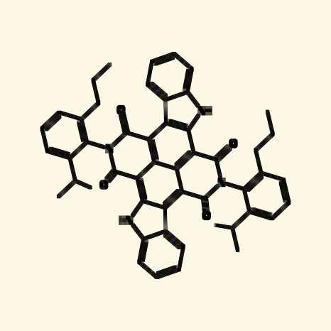 CCCc1cccc(C(C)C)c1N1C(=O)c2c3[nH]c4ccccc4c3c3c4c(c5[nH]c6ccccc6c5c(c24)C1=O)C(=O)N(c1c(CCC)cccc1C(C)C)C3=O